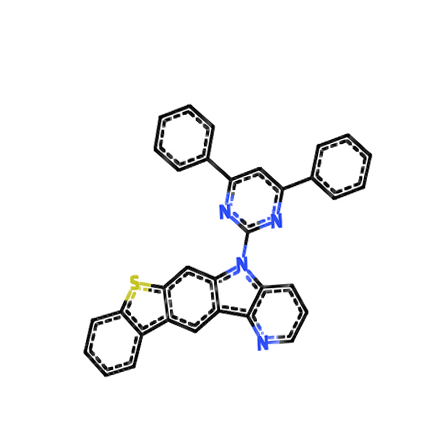 c1ccc(-c2cc(-c3ccccc3)nc(-n3c4cc5sc6ccccc6c5cc4c4ncccc43)n2)cc1